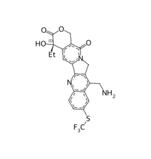 CC[C@@]1(O)C(=O)OCc2c1cc1n(c2=O)Cc2c-1nc1ccc(SC(F)(F)F)cc1c2CN